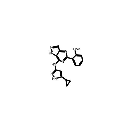 COc1ccccc1-c1nc(Nc2cc(C3CC3)[nH]n2)c2[nH]ncc2n1